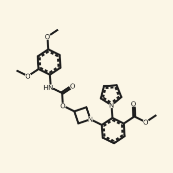 COC(=O)c1cccc(N2CC(OC(=O)Nc3ccc(OC)cc3OC)C2)c1-n1cccc1